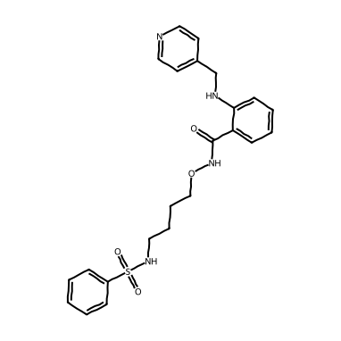 O=C(NOCCCCNS(=O)(=O)c1ccccc1)c1ccccc1NCc1ccncc1